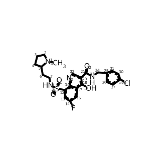 CN1CCCC1CCNS(=O)(=O)c1cc(F)cc2c(O)c(C(=O)NCc3ccc(Cl)cc3)cnc12